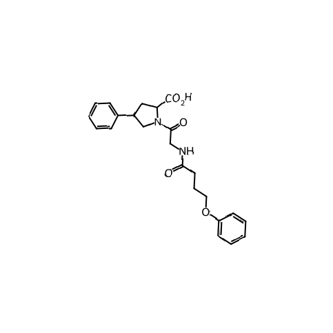 O=C(CCCOc1ccccc1)NCC(=O)N1CC(c2ccccc2)CC1C(=O)O